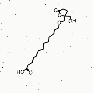 O=C(O)CCCCCCCCCCCCOCC1(CO)CCC(=O)O1